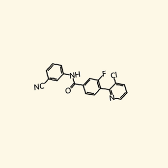 N#Cc1cccc(NC(=O)c2ccc(-c3ncccc3Cl)c(F)c2)c1